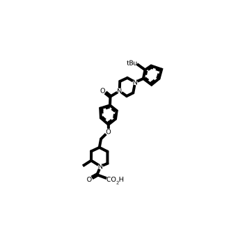 CC1CC(COc2ccc(C(=O)N3CCN(c4ccccc4C(C)(C)C)CC3)cc2)CCN1C(=O)C(=O)O